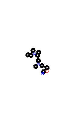 c1ccc(N(c2ccc(-c3cc(-n4c5ccccc5c5c6ccccc6ccc54)c4ccccc4c3)cc2)c2ccc(-c3cccc4oc5cnccc5c34)cc2)cc1